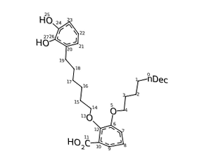 CCCCCCCCCCCCCCOc1cccc(C(=O)O)c1OCCCCCCc1cccc(O)c1O